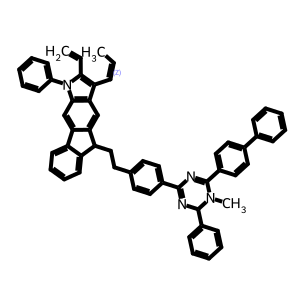 C=Cc1c(/C=C\C)c2cc3c(cc2n1-c1ccccc1)-c1ccccc1C3CCc1ccc(C2=NC(c3ccccc3)N(C)C(c3ccc(-c4ccccc4)cc3)=N2)cc1